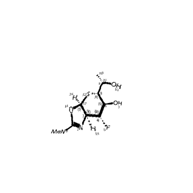 CNC1=N[C@@H]2[C@@H](F)[C@H](O)[C@@H]([C@H](C)O)S[C@@H]2O1